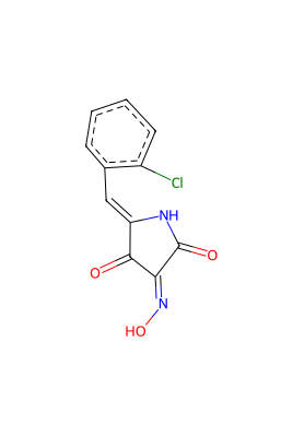 O=C1NC(=Cc2ccccc2Cl)C(=O)C1=NO